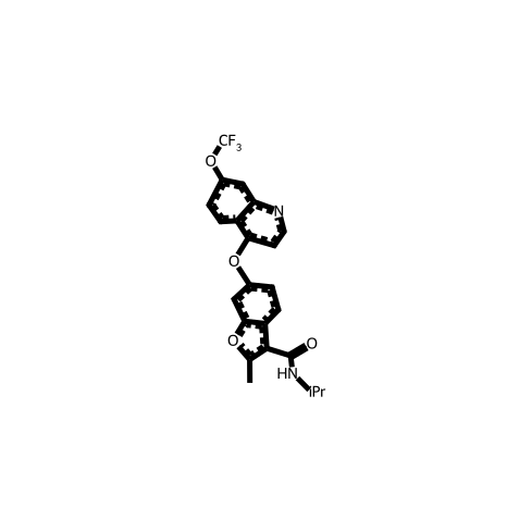 Cc1oc2cc(Oc3ccnc4cc(OC(F)(F)F)ccc34)ccc2c1C(=O)NC(C)C